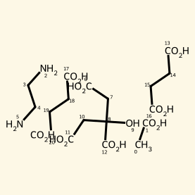 CC(=O)O.NCCN.O=C(O)CC(O)(CC(=O)O)C(=O)O.O=C(O)CCC(=O)O.O=C(O)CCC(=O)O